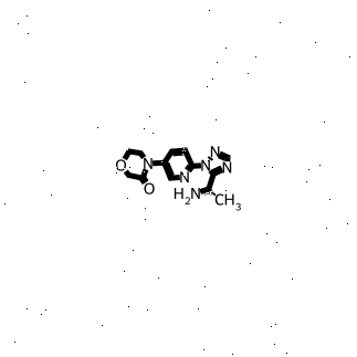 C[C@H](N)c1ncnn1-c1ccc(N2CCOCC2=O)cn1